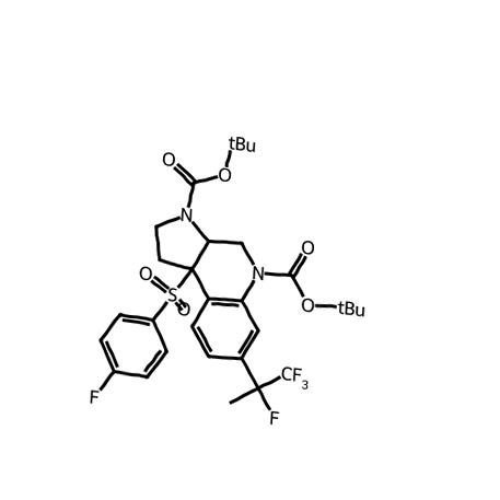 CC(C)(C)OC(=O)N1CC2N(C(=O)OC(C)(C)C)CCC2(S(=O)(=O)c2ccc(F)cc2)c2ccc(C(C)(F)C(F)(F)F)cc21